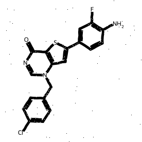 Nc1ccc(-c2cc3c(s2)c(=O)ncn3Cc2ccc(Cl)cc2)cc1F